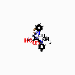 CN1/C(=C\C(=C\c2oc3ccccc3[n+]2C)C(=O)O)Sc2ccccc21.[I-]